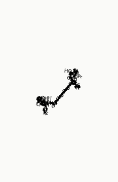 CC(=O)N1CCN(c2nc(NCCC(=O)N(C)CCOCCOCCOCCOCCOc3cc(-c4scnc4C)ccc3CNC(=O)[C@@H]3C[C@@H](O)CN3C(=O)[C@H](c3cc(C)no3)C(C)C)nc3c(F)c(-c4c(O)cccc4F)c(Cl)cc23)CC1